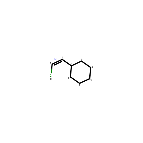 Cl/C=C\C1CCCCC1